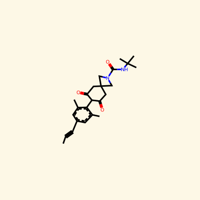 CC#Cc1cc(C)c(C2C(=O)CC3(CC2=O)CN(C(=O)NC(C)(C)C)C3)c(C)c1